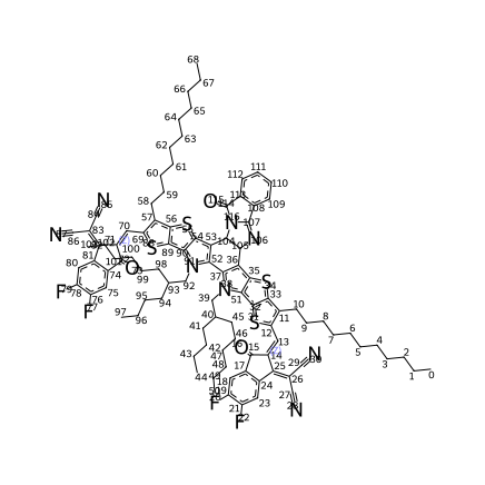 CCCCCCCCCCCc1c(/C=C2\C(=O)c3cc(F)c(F)cc3C2=C(C#N)C#N)sc2c1sc1c3c(n(CC(CCCC)CCCCCC)c12)-c1c(c2sc4c(CCCCCCCCCCC)c(/C=C5\C(=O)c6cc(F)c(F)cc6C5=C(C#N)C#N)sc4c2n1CC(CCCC)CCCCCC)C1C3N=C2c3ccccc3C(=O)N21